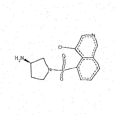 N[C@@H]1CCN(S(=O)(=O)c2cccc3cncc(Cl)c23)C1